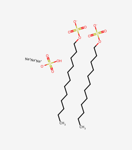 CCCCCCCCCCCCOS(=O)(=O)[O-].CCCCCCCCCCCCOS(=O)(=O)[O-].O=S(=O)([O-])O.[Na+].[Na+].[Na+]